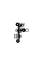 O=C(NCCOC(=O)C(Cc1cc(=O)[nH]c2ccccc12)NC(=O)c1ccc(Cl)cc1)NCc1ccccc1